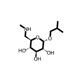 CNC[C@H]1O[C@H](OCC(C)C)[C@H](O)[C@@H](O)[C@@H]1O